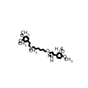 COc1ccc(CCN(C)CCCCCCOc2cc(-c3ccc(OC)c(OC)c3)[nH]n2)cc1OC